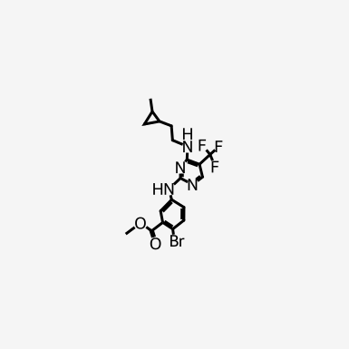 COC(=O)c1cc(Nc2ncc(C(F)(F)F)c(NCCC3CC3C)n2)ccc1Br